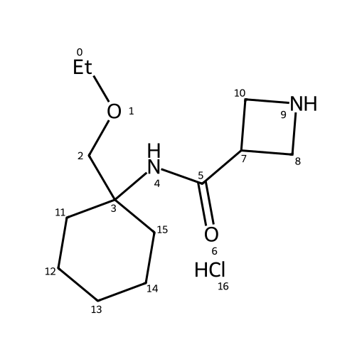 CCOCC1(NC(=O)C2CNC2)CCCCC1.Cl